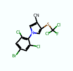 N#Cc1cn(-c2c(Cl)cc(Br)cc2Cl)cc1SC(F)(Cl)Cl